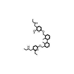 CCNCc1ccc(OCc2cccc(-c3cccc(COc4ccc(CNCC)c(OC)n4)c3C)c2C)nc1CC